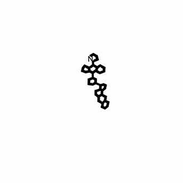 c1ccc(-c2c3ccccc3c(-c3cccc(-c4cccc5c4ccc4cc6ccccc6cc45)c3)c3ccccc23)nc1